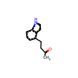 CC(=O)CCc1cccc2[nH]ccc12